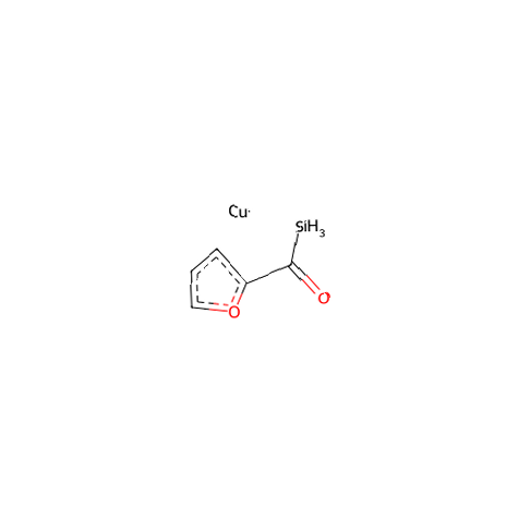 O=C([SiH3])c1ccco1.[Cu]